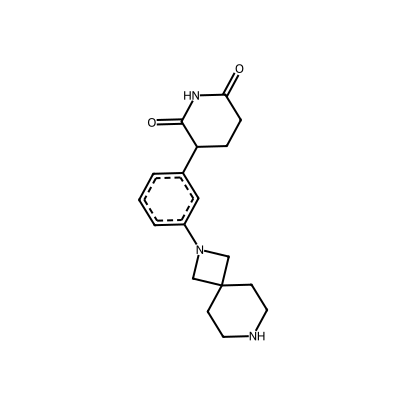 O=C1CCC(c2cccc(N3CC4(CCNCC4)C3)c2)C(=O)N1